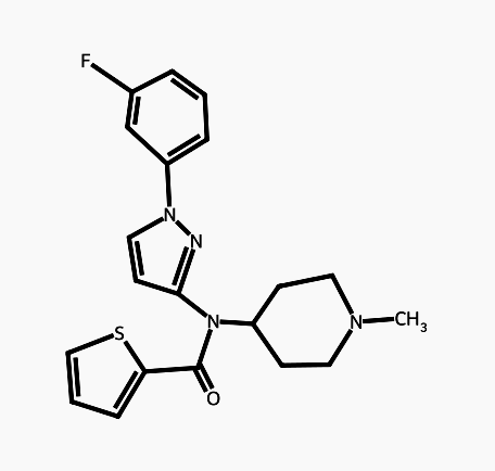 CN1CCC(N(C(=O)c2cccs2)c2ccn(-c3cccc(F)c3)n2)CC1